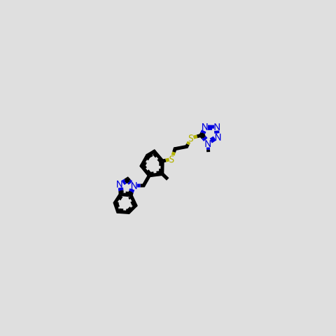 Cc1c(Cn2cnc3ccccc32)cccc1SCCSc1nnnn1C